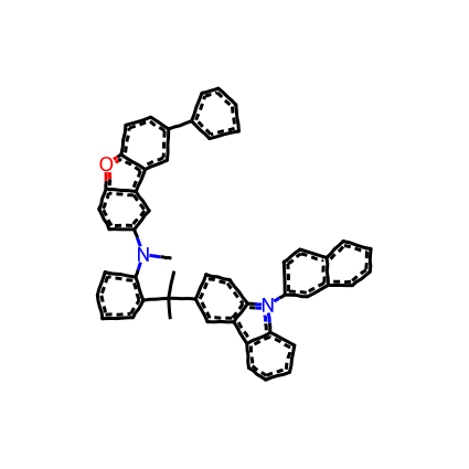 CN(c1ccc2oc3ccc(-c4ccccc4)cc3c2c1)c1ccccc1C(C)(C)c1ccc2c(c1)c1ccccc1n2-c1ccc2ccccc2c1